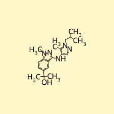 Cc1c(Nc2nn(C)c3ccc(C(C)(C)O)cc23)cnn1CC(C)C